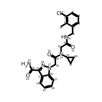 Cc1c(Cl)cccc1CNC(=O)CN(C(=O)Cn1nc(C(N)=O)c2ccccc21)C1CC1